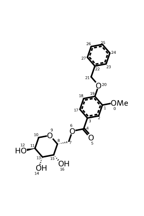 COc1cc(C(=O)OC[C@H]2OC[C@H](O)[C@@H](O)[C@H]2O)ccc1OCc1ccccc1